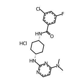 CN(C)c1ccnc(N[C@H]2CC[C@@H](NC(=O)c3cc(F)cc(Cl)c3)CC2)n1.Cl